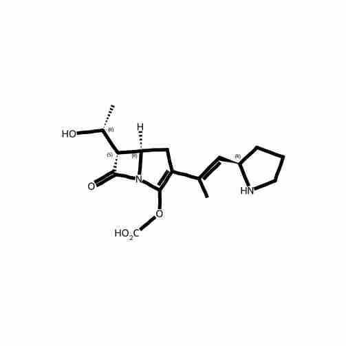 CC(=C[C@H]1CCCN1)C1=C(OC(=O)O)N2C(=O)[C@H]([C@@H](C)O)[C@H]2C1